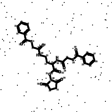 O=C(CSC(=O)c1ccccc1)NCCC(NC(=O)CSC(=O)c1ccccc1)C(=O)ON1C(=O)CCC1=O